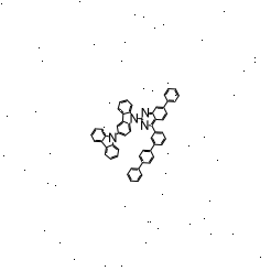 c1ccc(-c2ccc(-c3cccc(-c4nc(-n5c6ccccc6c6cc(-n7c8ccccc8c8ccccc87)ccc65)nc5cc(-c6ccccc6)ccc45)c3)cc2)cc1